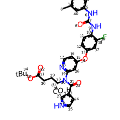 Cc1cccc(NC(=O)Nc2ccc(Oc3ccnc(N(C(=O)c4cc[nH]c4)[C@@H](CCC(=O)OC(C)(C)C)C(=O)O)c3)cc2F)c1